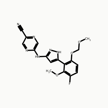 COCOc1ccc(F)c(OC)c1-c1cc(Nc2cnc(C#N)cn2)n[nH]1